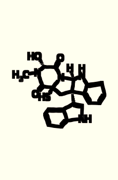 CN1C(=O)[C@@]2(S)C[C@]3(c4c[nH]c5ccccc45)c4ccccc4N[C@@H]3N2C(=O)[C@H]1O